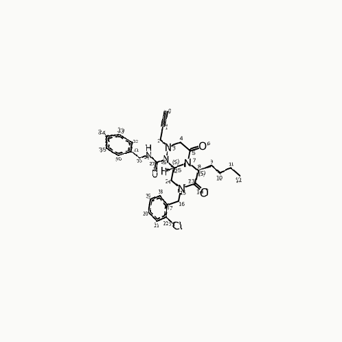 C#CCN1CC(=O)N2[C@@H](CCCC)C(=O)N(Cc3ccccc3Cl)C[C@@H]2N1C(=O)NCc1ccccc1